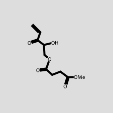 C=CC(=O)C(O)COC(=O)CCC(=O)OC